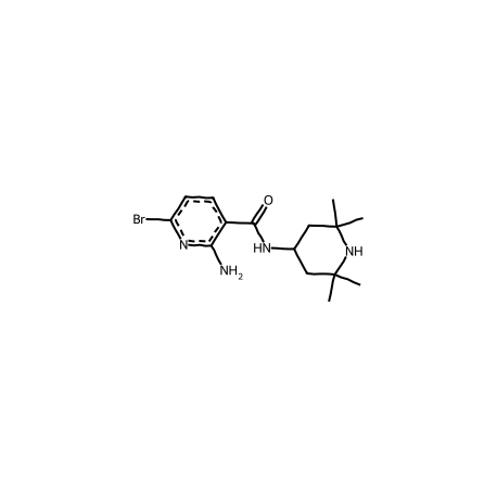 CC1(C)CC(NC(=O)c2ccc(Br)nc2N)CC(C)(C)N1